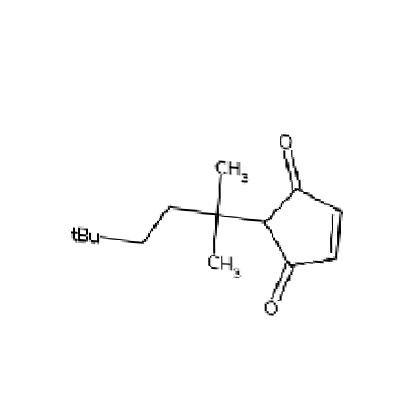 CC(C)(C)CCC(C)(C)C1C(=O)C=CC1=O